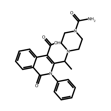 CC(c1c(C(=O)O)c2ccccc2c(=O)n1-c1ccccc1)N1CCN(C(N)=O)CC1